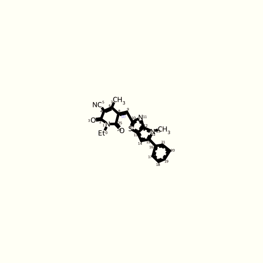 CCN1C(=O)C(C#N)=C(C)/C(=C/c2nc3c(cc(-c4ccccc4)n3C)s2)C1=O